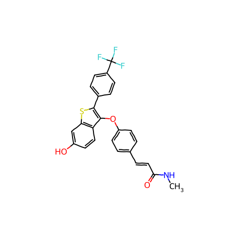 CNC(=O)C=Cc1ccc(Oc2c(-c3ccc(C(F)(F)F)cc3)sc3cc(O)ccc23)cc1